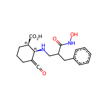 O=C=C1CCC[C@@H](C(=O)O)[C@H]1NCC(Cc1ccccc1)C(=O)NO